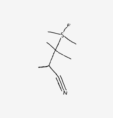 CC(C#N)C(C)(C)S(C)(C)F